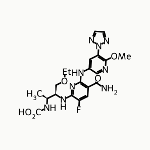 CCOC[C@@H](Nc1nc(Nc2cnc(OC)c(-n3nccn3)c2)c(C(N)=O)cc1F)[C@H](C)NC(=O)O